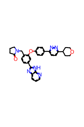 O=C1CCCN1Cc1ccc(-c2nc3cccnc3[nH]2)cc1Oc1ccc(-c2ccc(C3CCOCC3)nn2)cc1